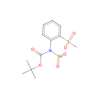 CC(C)(C)OC(=O)N(c1ccccc1S(C)(=O)=O)[SH](=O)=O